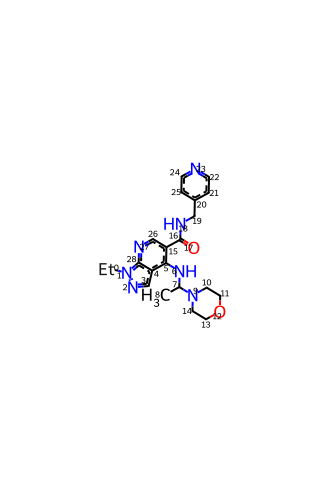 CCn1ncc2c(NC(C)N3CCOCC3)c(C(=O)NCc3ccncc3)cnc21